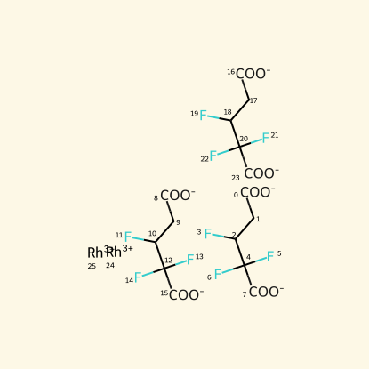 O=C([O-])CC(F)C(F)(F)C(=O)[O-].O=C([O-])CC(F)C(F)(F)C(=O)[O-].O=C([O-])CC(F)C(F)(F)C(=O)[O-].[Rh+3].[Rh+3]